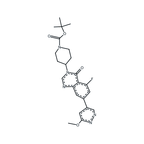 COc1cc(-c2cc(F)c3c(=O)n(C4CCN(C(=O)OC(C)(C)C)CC4)cnc3c2)cnn1